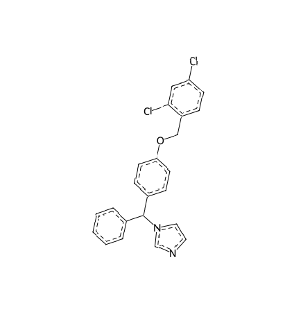 Clc1ccc(COc2ccc(C(c3ccccc3)n3ccnc3)cc2)c(Cl)c1